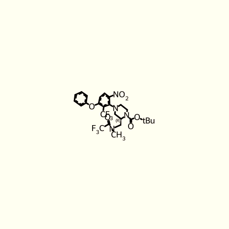 CN(C[C@H]1CN(c2c([N+](=O)[O-])ccc(Oc3ccccc3)c2C(F)(F)F)CCN1C(=O)OC(C)(C)C)C(=O)C(F)(F)F